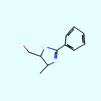 CC1N=C(c2ccccc2)NC1CO